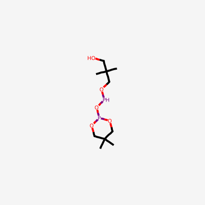 CC(C)(CO)COPOP1OCC(C)(C)CO1